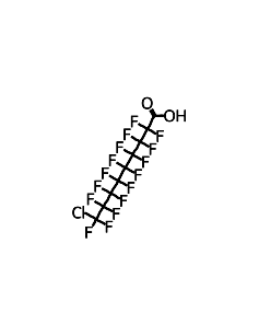 O=C(O)C(F)(F)C(F)(F)C(F)(F)C(F)(F)C(F)(F)C(F)(F)C(F)(F)C(F)(F)Cl